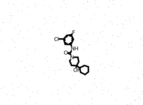 O=C(Nc1cc(F)cc(Cl)c1)N1CCC(O)(C2CCCCC2)CC1